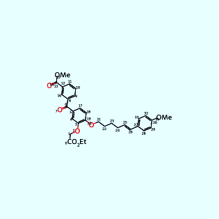 CCOC(=O)COc1cc(C(=O)c2cccc(C(=O)OC)c2)ccc1OCCCCC=Cc1ccc(OC)cc1